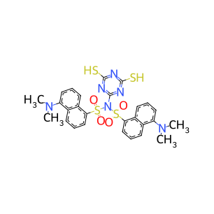 CN(C)c1cccc2c(S(=O)(=O)N(c3nc(S)nc(S)n3)S(=O)(=O)c3cccc4c(N(C)C)cccc34)cccc12